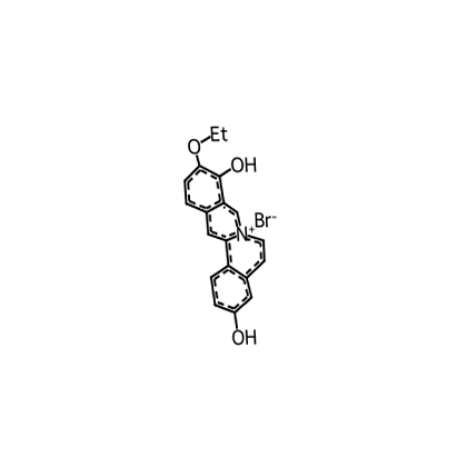 CCOc1ccc2cc3c4ccc(O)cc4cc[n+]3cc2c1O.[Br-]